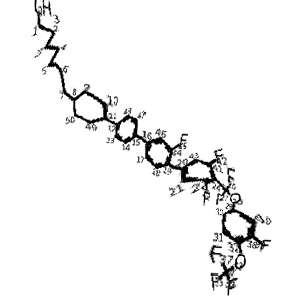 CCCCCCCCC1CCC(c2ccc(-c3ccc(-c4cc(F)c(C(F)(F)Oc5ccc(OC(F)(F)F)c(F)c5)c(F)c4)c(F)c3)cc2)CC1